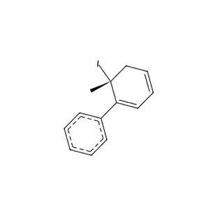 C[C@@]1(I)CC=CC=C1c1ccccc1